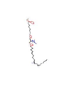 CCCCC/C=C\C/C=C\CCCCCCCCOCC(COCCCCCCCC(=O)OC)N(C)C